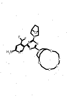 Nc1cc(C(F)F)c(-c2nc(N3CC4CCCCCCCCCCOC(CC4)C3)nc(N3CC4CCC(C3)O4)n2)cn1